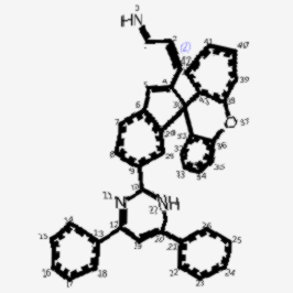 N=C/C=C\C1=Cc2ccc(C3N=C(c4ccccc4)C=C(c4ccccc4)N3)cc2C12c1ccccc1Oc1ccccc12